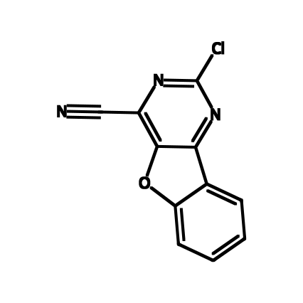 N#Cc1nc(Cl)nc2c1oc1ccccc12